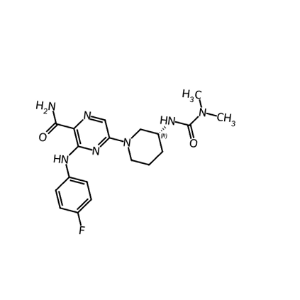 CN(C)C(=O)N[C@@H]1CCCN(c2cnc(C(N)=O)c(Nc3ccc(F)cc3)n2)C1